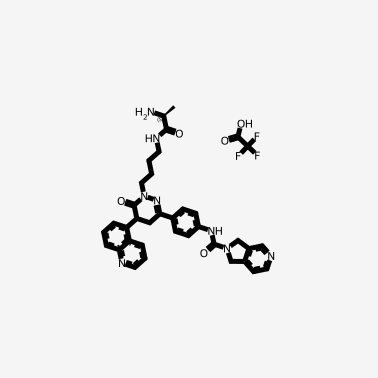 C[C@H](N)C(=O)NCCCCN1N=C(c2ccc(NC(=O)N3Cc4ccncc4C3)cc2)CC(c2cccc3ncccc23)C1=O.O=C(O)C(F)(F)F